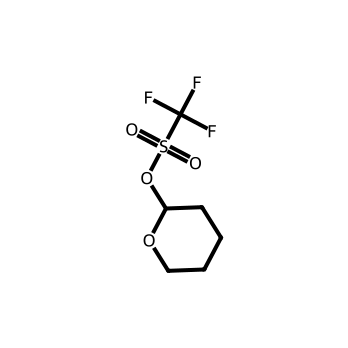 O=S(=O)(OC1CCCCO1)C(F)(F)F